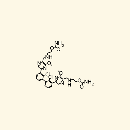 COc1nc(-c2cccc(-c3cccc(-c4cnc(CNCCOC(N)=O)c(OC)n4)c3Cl)c2Cl)cnc1CNCCOC(N)=O